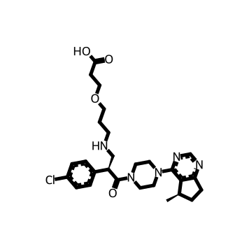 C[C@@H]1CCc2ncnc(N3CCN(C(=O)[C@H](CNCCCOCCC(=O)O)c4ccc(Cl)cc4)CC3)c21